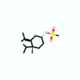 CC(C)=C1C[C@H](OS(C)(=O)=O)CC[C@]1(C)C(C)C